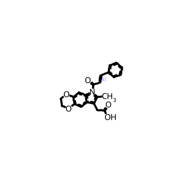 Cc1c(CC(=O)O)c2cc3c(cc2n1C(=O)/C=C/c1ccccc1)OCCO3